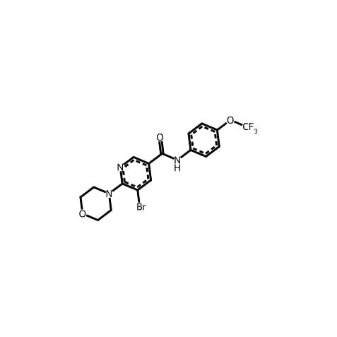 O=C(Nc1ccc(OC(F)(F)F)cc1)c1cnc(N2CCOCC2)c(Br)c1